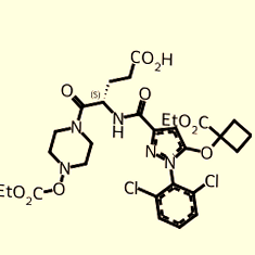 CCOC(=O)ON1CCN(C(=O)[C@H](CCC(=O)O)NC(=O)c2cc(OC3(C(=O)OCC)CCC3)n(-c3c(Cl)cccc3Cl)n2)CC1